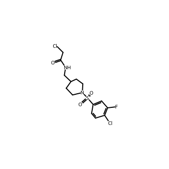 O=C(CCl)NCC1CCN(S(=O)(=O)c2ccc(Cl)c(F)c2)CC1